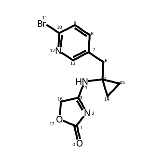 O=C1N=C(NC2(Cc3ccc(Br)nc3)CC2)CO1